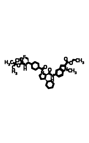 CCOC(=O)c1cc2cc(NC(=O)[C@H]3[C@H](C4CCCCC4)CCN3C(=O)C3CCC([C@@H](CF)NC(=O)OC(C)(C)C)CC3)ccc2n1C